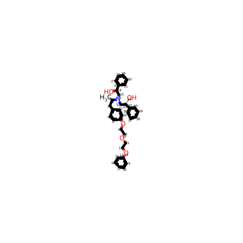 C[C@H](Cc1ccc(OCCOCCOc2ccccc2)cc1)N(CC(O)c1ccccc1)C[C@H](O)c1ccccc1